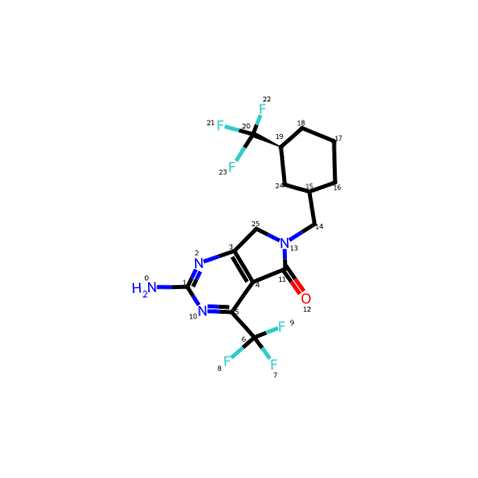 Nc1nc2c(c(C(F)(F)F)n1)C(=O)N(CC1CCC[C@H](C(F)(F)F)C1)C2